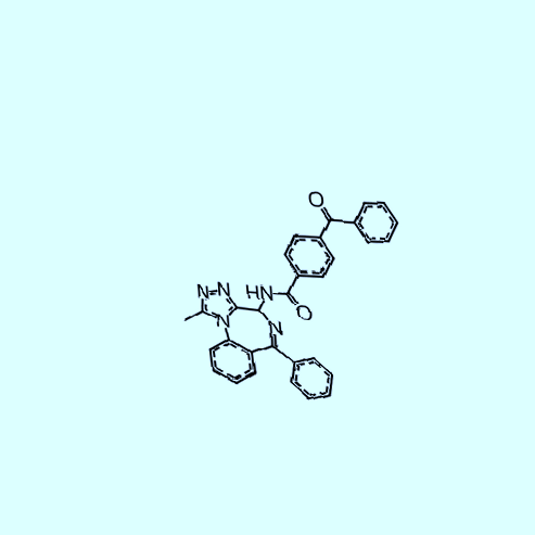 Cc1nnc2n1-c1ccccc1C(c1ccccc1)=NC2NC(=O)c1ccc(C(=O)c2ccccc2)cc1